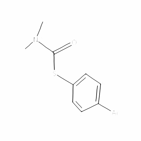 CC(=O)c1ccc(SC(=O)N(C)C)cc1